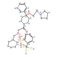 O=C(COCC1CCCCN1S(=O)(=O)c1ccccc1C(F)(F)F)N1CCC(OCCN2CCCC2)(c2cccnc2)CC1